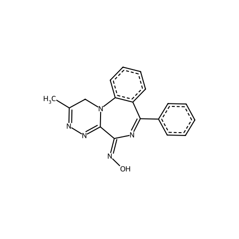 CC1=NN=C2C(=NO)N=C(c3ccccc3)c3ccccc3N2C1